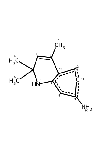 CC1=CC(C)(C)Nc2cc(N)ccc21